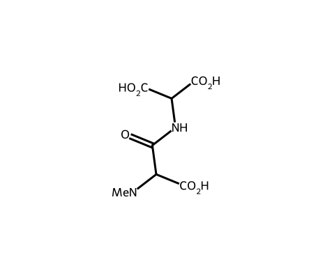 CNC(C(=O)O)C(=O)NC(C(=O)O)C(=O)O